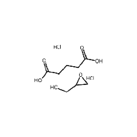 Cl.Cl.O=C(O)CCCC(=O)O.OCC1CO1